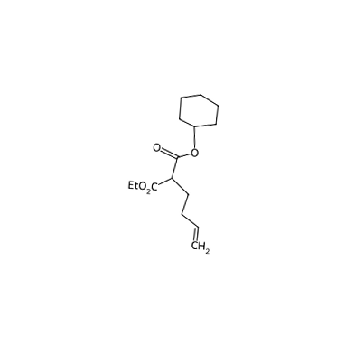 C=CCCC(C(=O)OCC)C(=O)OC1CCCCC1